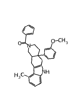 COc1cccc(C23CCN(C(=O)c4ccccc4)CC2Cc2c([nH]c4cccc(C)c24)C3)c1